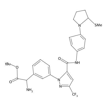 CSC1CCCN1c1ccc(NC(=O)c2cc(C(F)(F)F)nn2-c2cccc(C(N)C(=O)OC(C)(C)C)c2)cc1